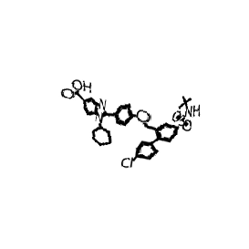 CC(C)(C)NS(=O)(=O)c1ccc(-c2ccc(Cl)cc2)c(COc2ccc(-c3nc4cc(C(=O)O)ccc4n3C3CCCCC3)cc2)c1